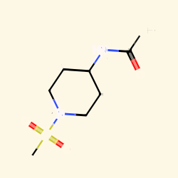 CS(=O)(=O)N1CCC(NC(=O)C=O)CC1